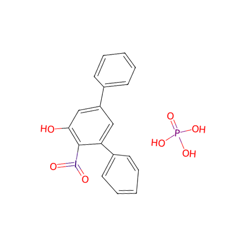 O=I(=O)c1c(O)cc(-c2ccccc2)cc1-c1ccccc1.O=P(O)(O)O